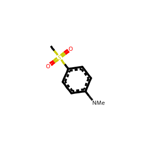 CNc1ccc(S(C)(=O)=O)cc1